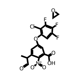 C1CO1.CC(C=O)c1cc(Oc2cc(F)c(F)c(F)c2Cl)cc(C(=O)O)c1[N+](=O)[O-]